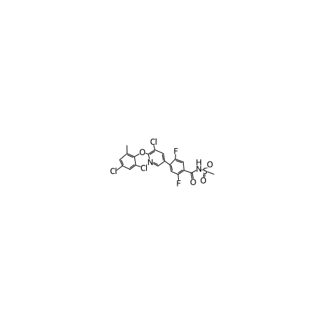 Cc1cc(Cl)cc(Cl)c1Oc1ncc(-c2cc(F)c(C(=O)NS(C)(=O)=O)cc2F)cc1Cl